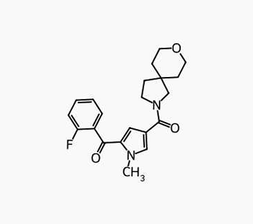 Cn1cc(C(=O)N2CCC3(CCOCC3)C2)cc1C(=O)c1ccccc1F